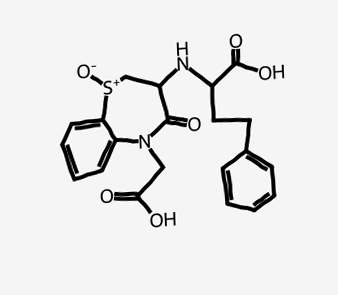 O=C(O)CN1C(=O)C(NC(CCc2ccccc2)C(=O)O)C[S+]([O-])c2ccccc21